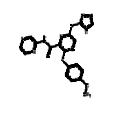 COc1ccc(Sc2ncc(Sc3nnc[nH]3)nc2C(=O)Nc2cnccn2)cc1